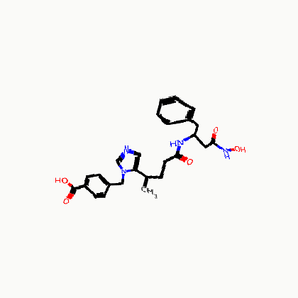 CC(CCC(=O)NC(CC(=O)NO)Cc1ccccc1)c1cncn1Cc1ccc(C(=O)O)cc1